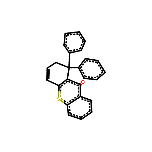 O=c1c2c(sc3ccccc13)C=CCC2(c1ccccc1)c1ccccc1